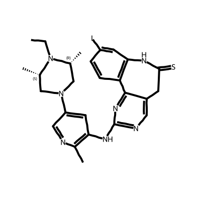 CCN1[C@H](C)CN(c2cnc(C)c(Nc3ncc4c(n3)-c3ccc(I)cc3NC(=S)C4)c2)C[C@@H]1C